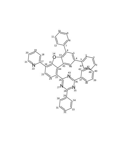 c1ccc(-c2cc(-c3ccccc3)c3oc4c(-c5ccccn5)ccc(-c5nc(-c6ccccc6)nc(-c6ccccc6)n5)c4c3c2)cc1